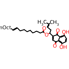 CCCCCCCCC=CCCCCCCCC(=O)OC(CC=C(C)C)C1=CC(=O)c2c(O)ccc(O)c2C1=O